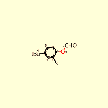 Cc1cc(C(C)(C)C)ccc1OC=O